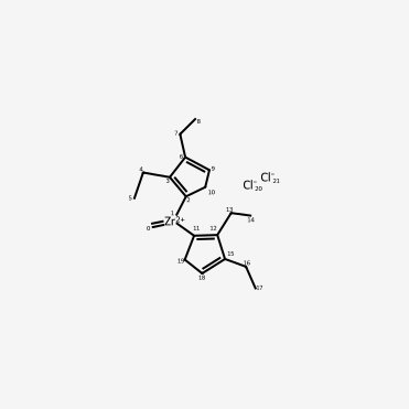 [CH2]=[Zr+2]([C]1=C(CC)C(CC)=CC1)[C]1=C(CC)C(CC)=CC1.[Cl-].[Cl-]